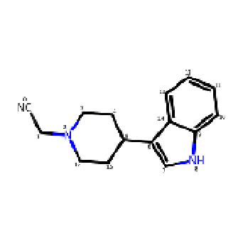 N#CCN1CCC(c2c[nH]c3ccccc23)CC1